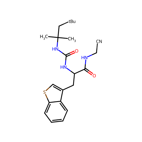 CC(C)(C)CC(C)(C)NC(=O)NC(Cc1csc2ccccc12)C(=O)NCC#N